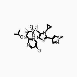 CC(C)O[C@@H](c1ncc(Cl)cn1)[C@H](C)S(=O)(=O)Nc1nnc(-c2cnn(C)c2)n1C1CC1